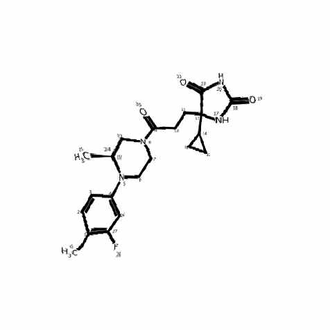 Cc1ccc(N2CCN(C(=O)CCC3(C4CC4)NC(=O)NC3=O)C[C@@H]2C)cc1F